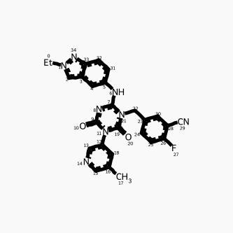 CCn1cc2cc(Nc3nc(=O)n(-c4cncc(C)c4)c(=O)n3Cc3ccc(F)c(C#N)c3)ccc2n1